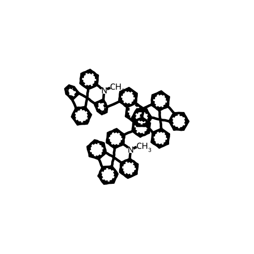 CN1c2ccccc2C2(c3ccccc3-c3ccccc32)c2cccc(-c3cccc4c(-c5cccc6c5C5(c7ccccc7-c7ccccc75)c5ccccc5-6)c5cccc(-c6cccc7c6N(C)c6ccccc6C76c7ccccc7-c7ccccc76)c5cc34)c21